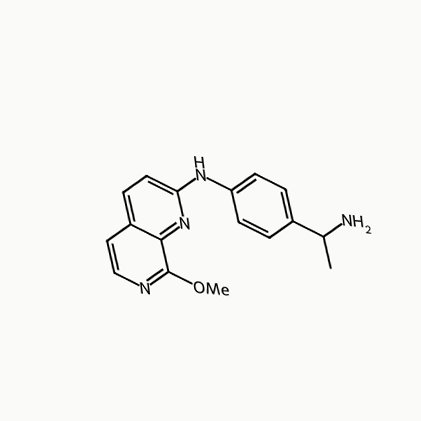 COc1nccc2ccc(Nc3ccc(C(C)N)cc3)nc12